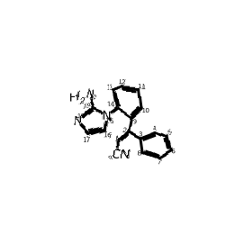 N#CC=C(c1ccccc1)c1ccccc1-n1ccnc1N